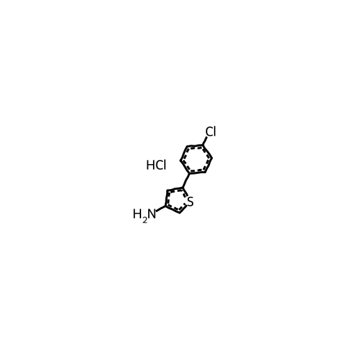 Cl.Nc1csc(-c2ccc(Cl)cc2)c1